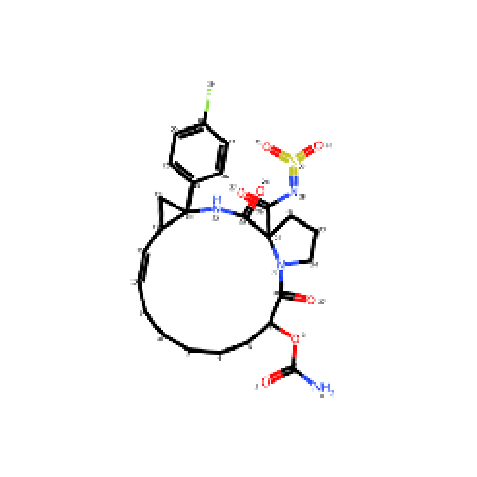 NC(=O)OC1CCCCCC=CC2CC2(c2ccc(F)cc2)NC(=O)C2(C(=O)N=S(=O)=O)CCCN2C1=O